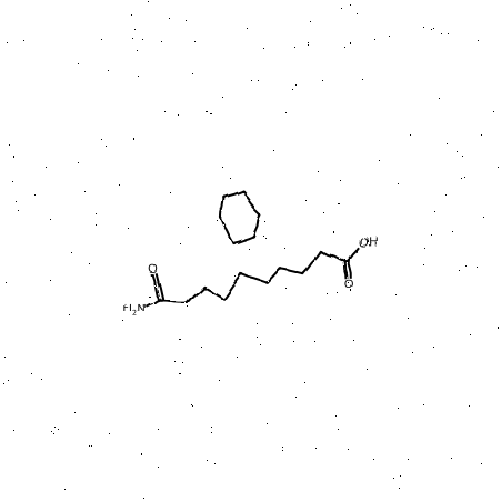 C1CCCCC1.NC(=O)CCCCCCCCC(=O)O